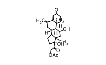 C=C1C[C@@H]2[C@H]([C@@H](O)C[C@@]3(C)[C@H]2CC[C@]3(O)C(=O)COC(C)=O)[C@@]2(C)CCC(=O)C=C12